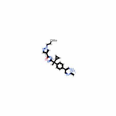 C=C(N)/N=C\C(=C/N)c1ccc(C(C)(c2noc(-c3cnn(CCOC)c3)n2)C2CC2)cc1